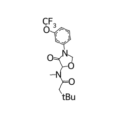 CN(C(=O)CC(C)(C)C)C1OCN(c2cccc(OC(F)(F)F)c2)C1=O